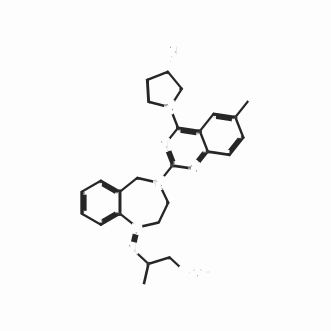 COCC(C)N=S1CCN(c2nc(N3CC[C@H](N)C3)c3cc(C)ccc3n2)Cc2ccccc21